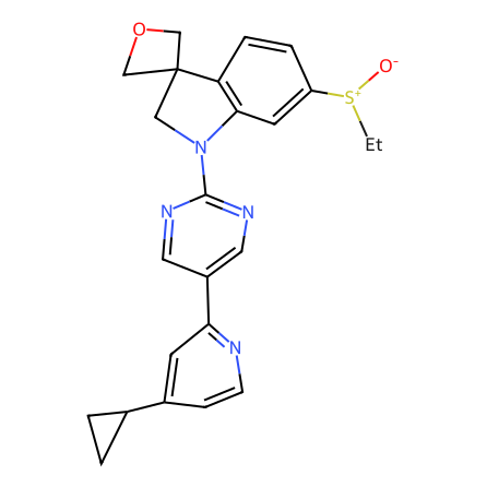 CC[S+]([O-])c1ccc2c(c1)N(c1ncc(-c3cc(C4CC4)ccn3)cn1)CC21COC1